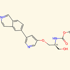 CC(C)(C)OC(=O)N[C@@H](CO)COc1cncc(-c2ccc3cnccc3c2)c1